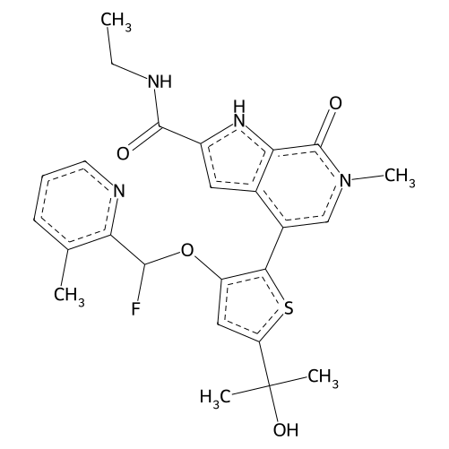 CCNC(=O)c1cc2c(-c3sc(C(C)(C)O)cc3OC(F)c3ncccc3C)cn(C)c(=O)c2[nH]1